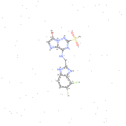 CS(=O)(=O)c1nc(NCc2nc3c(F)c(F)ccc3[nH]2)c2ncc(Br)n2n1